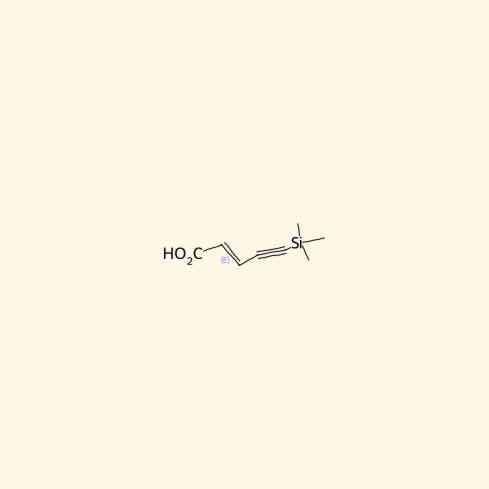 C[Si](C)(C)C#C/C=C/C(=O)O